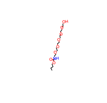 CCCCOC(=O)NCCOCCOCCOCCOCCOCCO